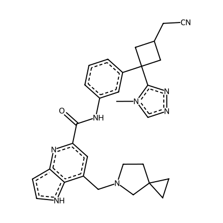 Cn1cnnc1C1(c2cccc(NC(=O)c3cc(CN4CCC5(CC5)C4)c4[nH]ccc4n3)c2)CC(CC#N)C1